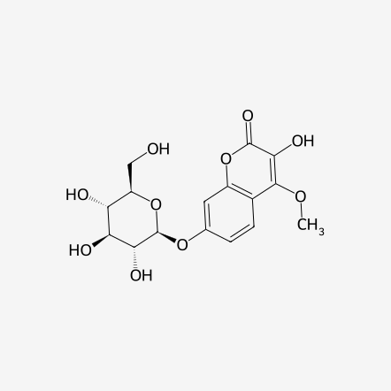 COc1c(O)c(=O)oc2cc(O[C@@H]3O[C@H](CO)[C@@H](O)[C@H](O)[C@H]3O)ccc12